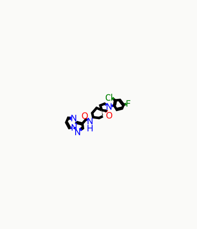 O=C(N[C@H]1CC[C@@]2(CCN(c3ccc(F)cc3Cl)C2=O)CC1)c1cnn2cccnc12